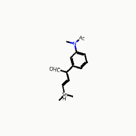 CC(=O)N(C)c1cccc(C(C=O)C=[CH][SnH]([CH3])[CH3])c1